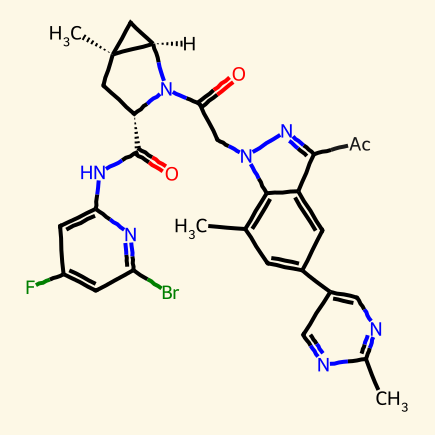 CC(=O)c1nn(CC(=O)N2[C@H](C(=O)Nc3cc(F)cc(Br)n3)C[C@@]3(C)C[C@@H]23)c2c(C)cc(-c3cnc(C)nc3)cc12